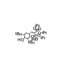 CC(C)OP(=O)(OC(C)C)C(=Cc1cc(C(C)(C)C)c(O)c(C(C)(C)C)c1)P(=O)(OC(C)C)OC(C)C